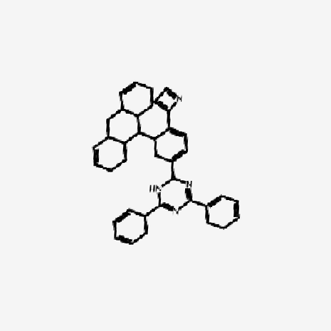 C1=CCCC(C2=NC(C3=CC=C(C4=CC=N4)C(C4C5CCC=CC5CC5C=CCCC54)C3)NC(C3C=CC=CC3)=N2)=C1